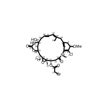 COC1CC2=CC(=C1Cl)N(C)C(=O)C[C@H](OC(=O)CBr)[C@]1(C)O[C@H]1[C@H](C)[C@@H]1C[C@](O)(C/C=C/C=C(\C)C2)NC(=O)O1